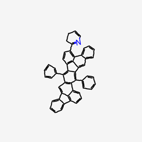 C1=CN=C(c2ccc3c4c(-c5ccccc5)c5cc6c7ccccc7c7cccc(c5c(-c5ccccc5)c4c4cc5ccccc5c2c34)c76)CC1